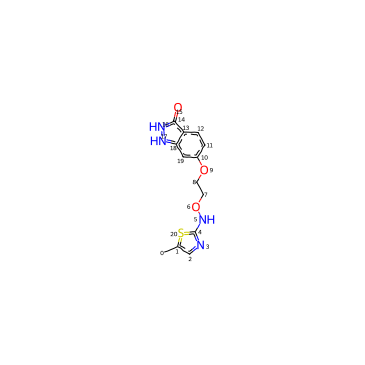 Cc1cnc(NOCCOc2ccc3c(=O)[nH][nH]c3c2)s1